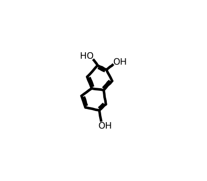 Oc1ccc2cc(O)c(O)cc2c1